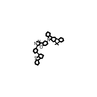 CC1(C)c2ccccc2-c2cc3c4ccccc4n(-c4ccc5oc6c(-c7cccc(-c8cccc9c8sc8ccccc89)c7)ncnc6c5c4)c3cc21